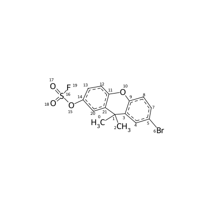 CC1(C)c2cc(Br)ccc2Oc2ccc(OS(=O)(=O)F)cc21